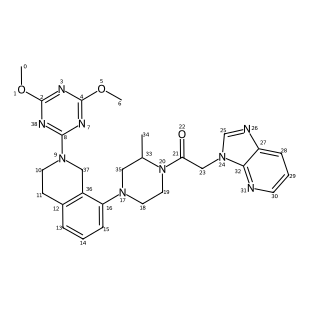 COc1nc(OC)nc(N2CCc3cccc(N4CCN(C(=O)Cn5cnc6cccnc65)C(C)C4)c3C2)n1